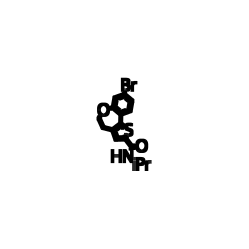 CC(C)NC(=O)c1cc2c(s1)-c1ccc(Br)cc1OCC2